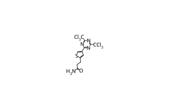 NC(=O)CCc1cc(-c2nc(C(Cl)(Cl)Cl)nc(C(Cl)(Cl)Cl)n2)cs1